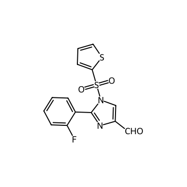 O=Cc1cn(S(=O)(=O)c2cccs2)c(-c2ccccc2F)n1